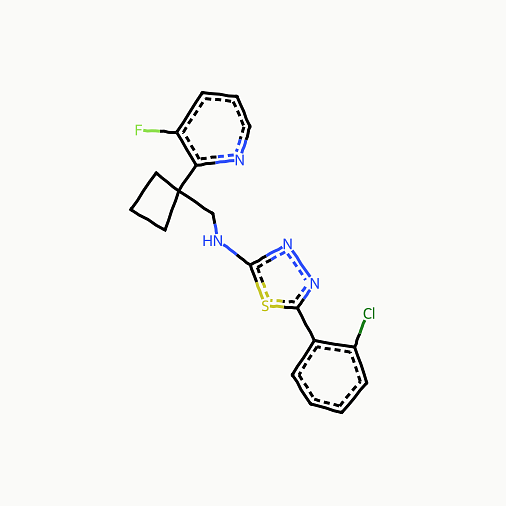 Fc1cccnc1C1(CNc2nnc(-c3ccccc3Cl)s2)CCC1